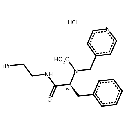 CC(C)CCNC(=O)[C@H](Cc1ccccc1)N(Cc1ccncc1)C(=O)O.Cl